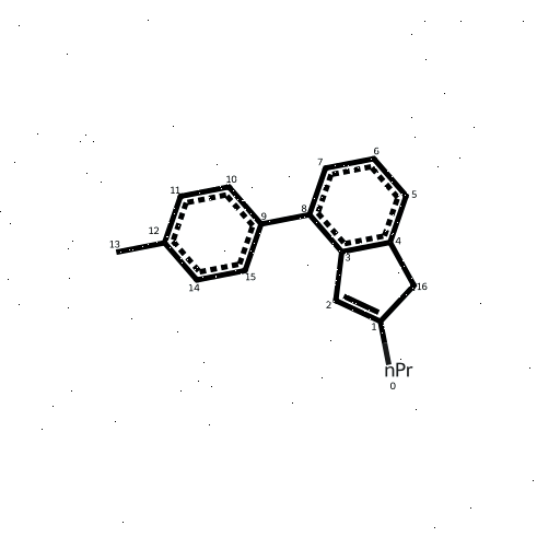 CCCC1=Cc2c(cccc2-c2ccc(C)cc2)[CH]1